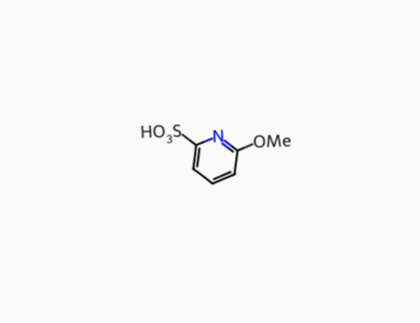 COc1cccc(S(=O)(=O)O)n1